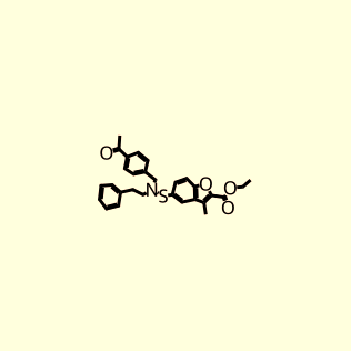 CCOC(=O)c1oc2ccc(SN(CCc3ccccc3)Cc3ccc(C(C)=O)cc3)cc2c1C